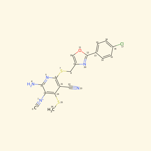 [C-]#[N+]c1c(N)nc(SCc2coc(-c3ccc(Cl)cc3)n2)c(C#N)c1SC